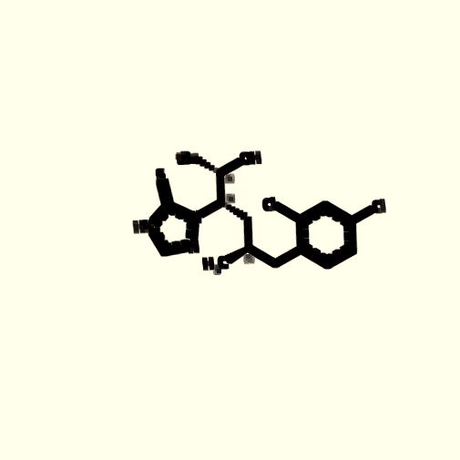 C[C@H](Cc1ccc(Cl)cc1Cl)C[C@@H]([C@@H](O)C(C)(C)C)n1nc[nH]c1=S